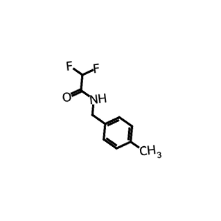 Cc1ccc(CNC(=O)C(F)F)cc1